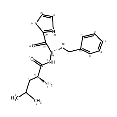 CC(C)C[C@H](N)C(=O)N[C@@H](CCc1ccccc1)C(=O)c1nccs1